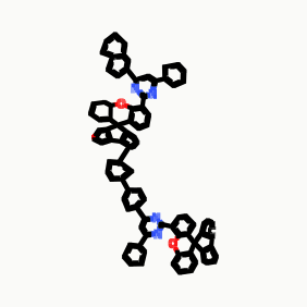 C1=CCC2Oc3c(-c4nc(-c5ccccc5)cc(-c5ccc6ccccc6c5)n4)cccc3C3(C2=C1)c1ccccc1-c1c(-c2cccc(-c4ccc(-c5cc(-c6ccccc6)nc(-c6cccc7c6Oc6ccccc6C76c7ccccc7-c7ccccc76)n5)cc4)c2)cccc13